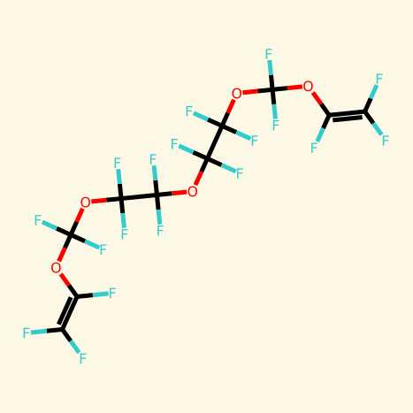 FC(F)=C(F)OC(F)(F)OC(F)(F)C(F)(F)OC(F)(F)C(F)(F)OC(F)(F)OC(F)=C(F)F